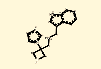 c1ccc2c(CNCC3(n4ccnc4)COC3)c[nH]c2c1